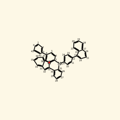 c1ccc(-c2ccc(N(c3ccc(-c4cccc5ccccc45)cc3)c3ccccc3-c3cc4ccccc4o3)cc2)cc1